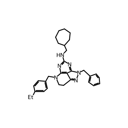 CCc1ccc(CN2CCc3nn(Cc4ccccc4)c4nc(NCC5CCCCCC5)nc2c34)cc1